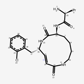 CC(C)[C@H](N)C(=O)N[C@H]1CCCCNC(=O)/C=C/[C@H](Cc2ccccc2Cl)NC1=O